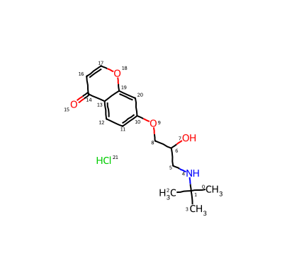 CC(C)(C)NCC(O)COc1ccc2c(=O)ccoc2c1.Cl